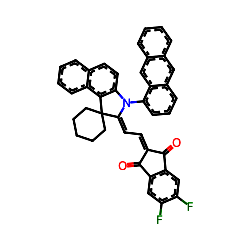 O=C1C(=C/C=C2\N(c3cccc4cc5ccccc5cc34)c3ccc4ccccc4c3C23CCCCC3)C(=O)c2cc(F)c(F)cc21